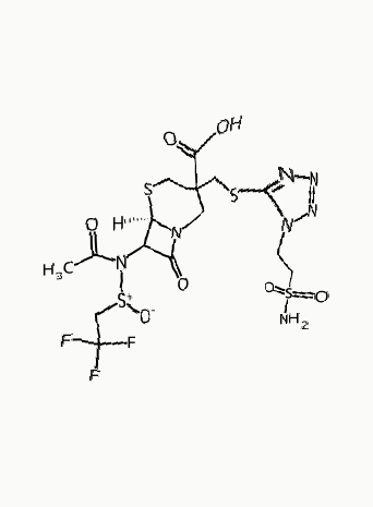 CC(=O)N(C1C(=O)N2CC(CSc3nnnn3CCS(N)(=O)=O)(C(=O)O)CS[C@H]12)[S+]([O-])CC(F)(F)F